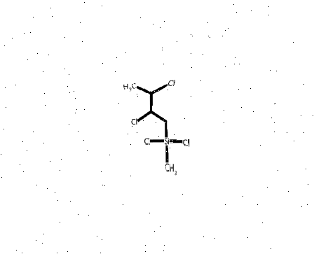 CC(Cl)C(Cl)C[Si](C)(Cl)Cl